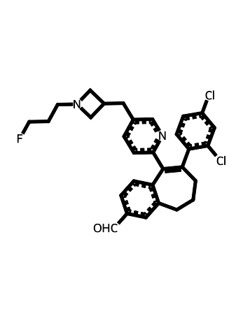 O=Cc1ccc2c(c1)CCCC(c1ccc(Cl)cc1Cl)=C2c1ccc(CC2CN(CCCF)C2)cn1